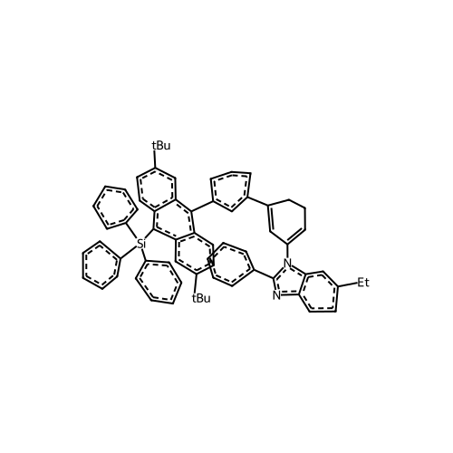 CCc1ccc2nc(-c3ccccc3)n(C3=CCCC(c4cccc(-c5c6cc(C(C)(C)C)ccc6c([Si](c6ccccc6)(c6ccccc6)c6ccccc6)c6cc(C(C)(C)C)ccc56)c4)=C3)c2c1